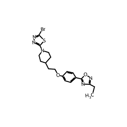 CCc1noc(-c2ccc(OCCC3CCN(c4nnc(Br)s4)CC3)cc2)n1